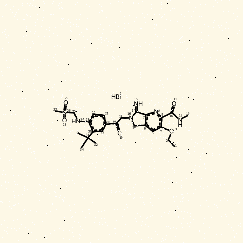 Br.CCOc1cc2c(nc1C(=O)NC)C(=N)N(CC(=O)c1ccc(NCS(C)(=O)=O)c(C(C)(C)C)c1)C2